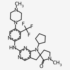 CN1CCN(c2cnc(Nc3ncc4c(n3)N(C3CCCC3)C3(CCN(C)C3=O)C4)cc2C(F)(F)F)CC1